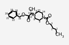 CCCCOC(=O)N1CCN([C@@H](C)C(=O)OCc2ccccc2)CC1